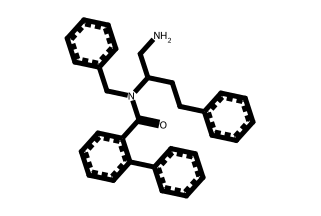 NCC(CCc1ccccc1)N(Cc1ccccc1)C(=O)c1ccccc1-c1ccccc1